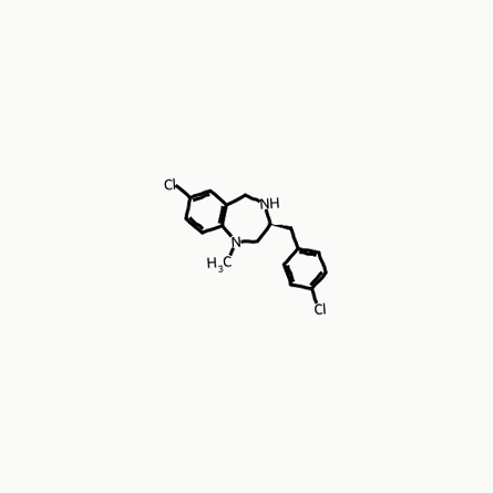 CN1C[C@H](Cc2ccc(Cl)cc2)NCc2cc(Cl)ccc21